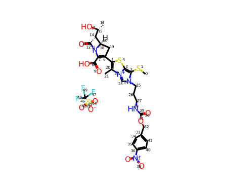 CSc1c2sc(C3=C(C(=O)O)N4C(=O)[C@H]([C@@H](C)O)[C@H]4C3)c(C)[n+]2cn1CCCNC(=O)OCc1ccc([N+](=O)[O-])cc1.O=S(=O)([O-])C(F)(F)F